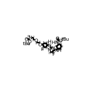 CN(CCOCCOc1ccc(Nc2ncc(F)c(Nc3cccc(NC(=O)OC(C)(C)C)c3)n2)cc1F)C(=O)OC(C)(C)C